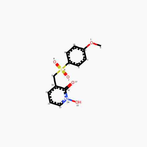 COc1ccc(S(=O)(=O)Cc2cccn(O)c2=O)cc1